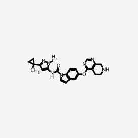 Cn1nc(C2(C)CC2)cc1NC(=O)n1ccc2cc(Oc3ncnc4c3CCNC4)ccc21